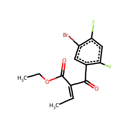 CC=C(C(=O)OCC)C(=O)c1cc(Br)c(F)cc1F